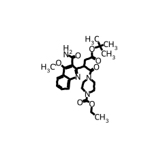 CCOC(=O)N1CCN(C(=O)C(CC(=O)OC(C)(C)C)c2nc3ccccc3c(OC)c2C(N)=O)CC1